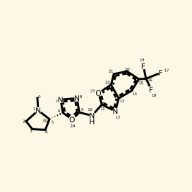 CN1CCC[C@H]1c1nnc(Nc2nc3cc(C(F)(F)F)ccc3o2)o1